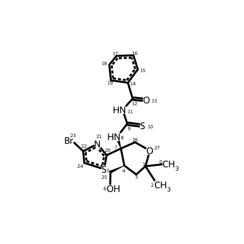 CC1(C)C[C@@H](CO)[C@](NC(=S)NC(=O)c2ccccc2)(c2nc(Br)cs2)CO1